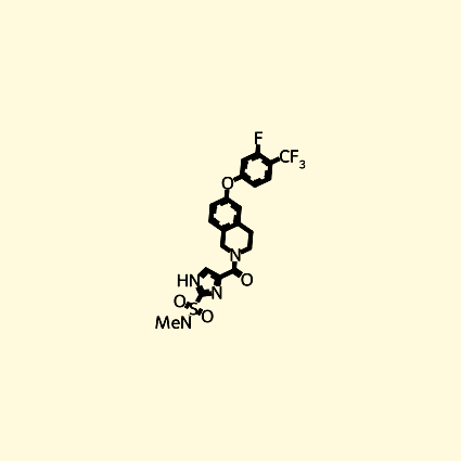 CNS(=O)(=O)c1nc(C(=O)N2CCc3cc(Oc4ccc(C(F)(F)F)c(F)c4)ccc3C2)c[nH]1